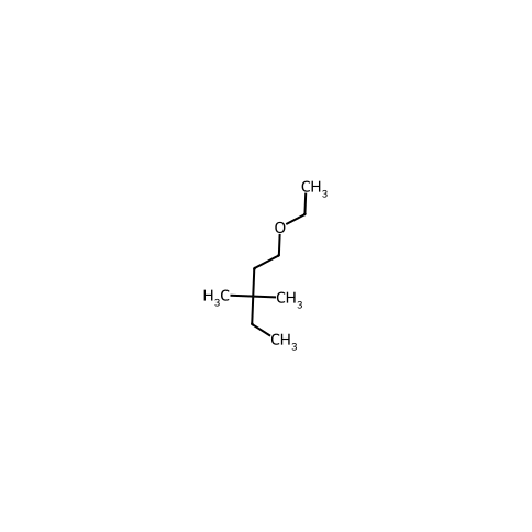 CCOCCC(C)(C)CC